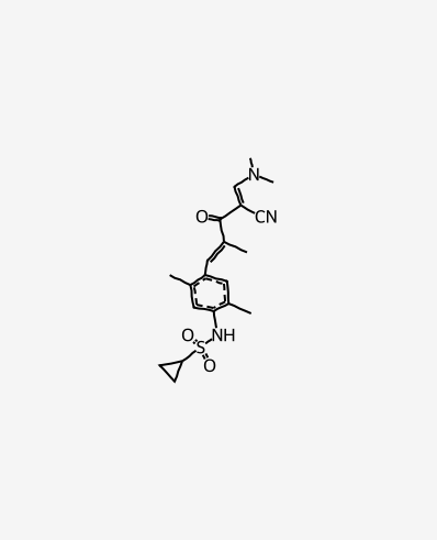 C/C(=C\c1cc(C)c(NS(=O)(=O)C2CC2)cc1C)C(=O)/C(C#N)=C/N(C)C